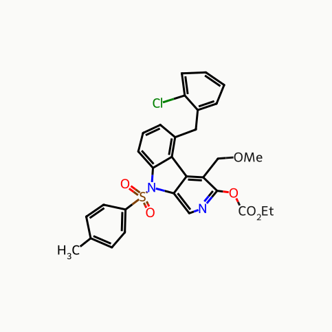 CCOC(=O)Oc1ncc2c(c1COC)c1c(Cc3ccccc3Cl)cccc1n2S(=O)(=O)c1ccc(C)cc1